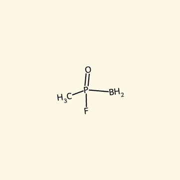 BP(C)(=O)F